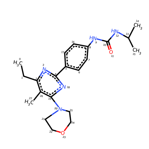 CCc1nc(-c2ccc(NC(=O)NC(C)C)cc2)nc(N2CCOCC2)c1C